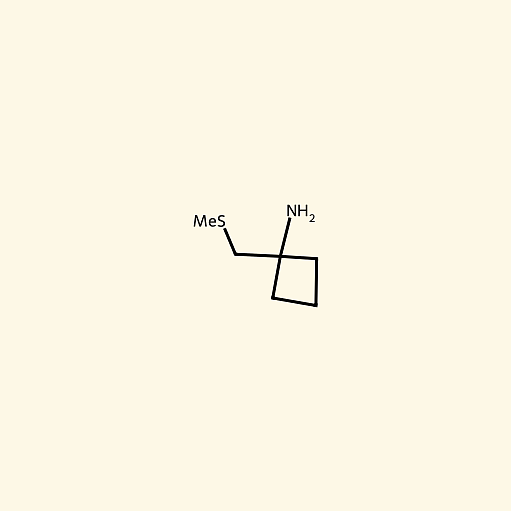 CSCC1(N)CCC1